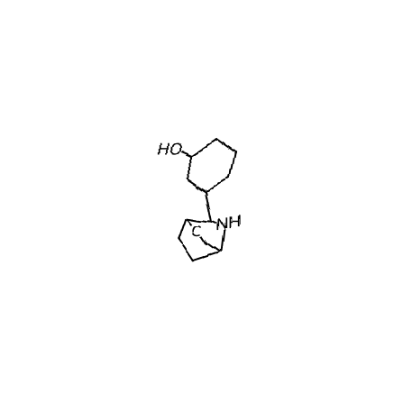 OC1CCCC(C2NCC3CCC2CC3)C1